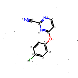 N#Cc1nccc(Oc2ccc(F)cc2)n1